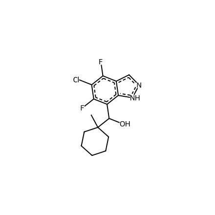 CC1(C(O)c2c(F)c(Cl)c(F)c3cn[nH]c23)CCCCC1